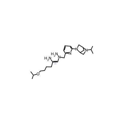 CC(C)OCCCC/C(N)=C/N(N)Cc1cccc(N2CC3CC2CN3C(C)C)n1